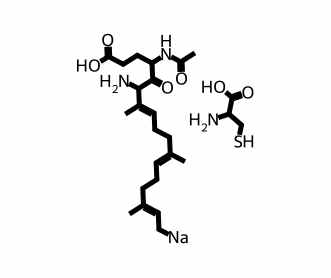 CC(=O)NC(CCC(=O)O)C(=O)C(N)C(C)=CCCC(C)=CCCC(C)=C[CH2][Na].NC(CS)C(=O)O